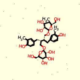 Cc1cc(C[C@@H](CO[C@@H]2O[C@H](CO)[C@@H](O)[C@H](O)[C@H]2O)[C@H](CO[C@@H]2O[C@H](CO)[C@@H](C)[C@H](O)[C@H]2O)Cc2ccc(O)c(C)c2)ccc1O